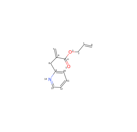 C=CCOC(=O)C(=C)Cc1ccccn1